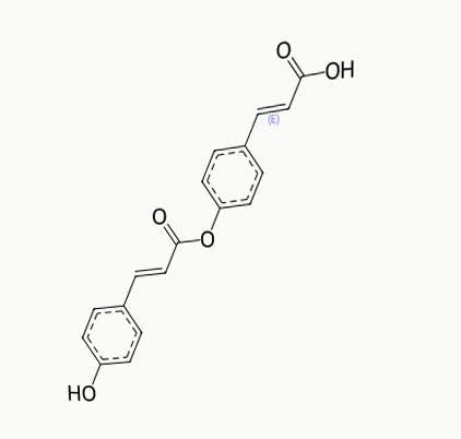 O=C(O)/C=C/c1ccc(OC(=O)C=Cc2ccc(O)cc2)cc1